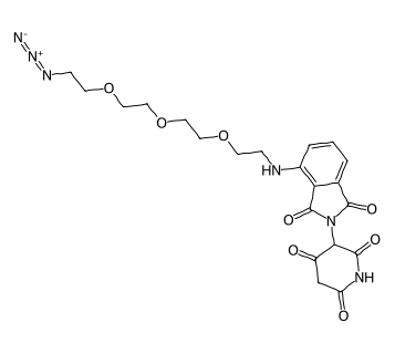 [N-]=[N+]=NCCOCCOCCOCCNc1cccc2c1C(=O)N(C1C(=O)CC(=O)NC1=O)C2=O